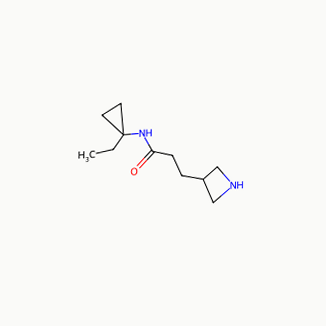 CCC1(NC(=O)CCC2CNC2)CC1